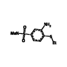 CCSc1ccc(S(=O)(=O)NC)cc1N